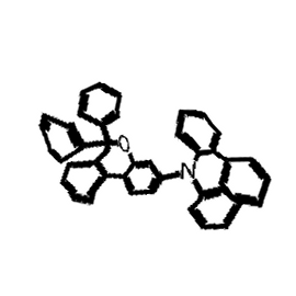 c1ccc(-c2ccccc2N(c2ccccc2)c2ccc3c(c2)OC(c2ccccc2)(c2ccccc2)c2ccccc2-3)cc1